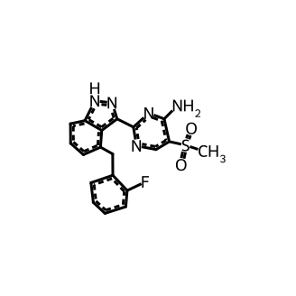 CS(=O)(=O)c1cnc(-c2n[nH]c3cccc(Cc4ccccc4F)c23)nc1N